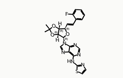 CC1(C)O[C@@H]2[C@H](O1)[C@@H](C=Cc1ccccc1F)O[C@H]2n1cnc2c(Nc3nccs3)ncnc21